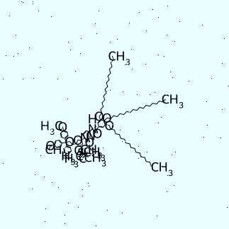 CCCCCCCCCCCCCCCCCCOc1cc(C(=O)Nc2ccn([C@H]3C[C@H](O[Si](C)(C)C(C)(C)C)[C@@H](COC(c4ccccc4)(c4ccc(OC)cc4)c4ccc(OC)cc4)O3)c(=O)n2)cc(OCCCCCCCCCCCCCCCCCC)c1OCCCCCCCCCCCCCCCCCC